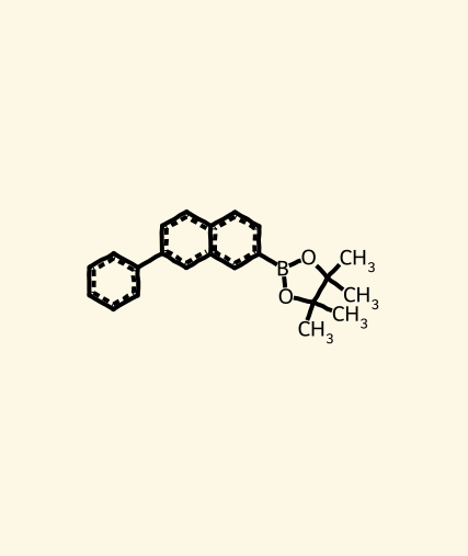 CC1(C)OB(c2ccc3ccc(-c4ccccc4)cc3c2)OC1(C)C